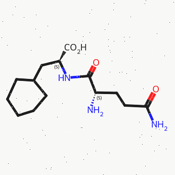 NC(=O)CC[C@H](N)C(=O)N[C@@H](CC1CCCCC1)C(=O)O